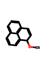 N#COC1C=Cc2cccc3cccc1c23